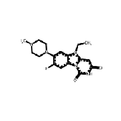 CCn1c2cc(N3CCN(C)CC3)c(F)cc2n2c(=O)[nH]c(=O)cc12